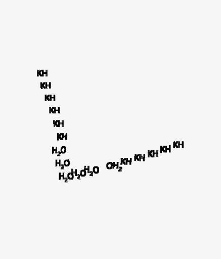 O.O.O.O.O.O.[KH].[KH].[KH].[KH].[KH].[KH].[KH].[KH].[KH].[KH].[KH]